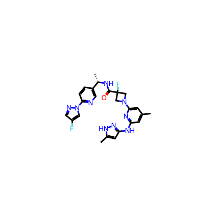 Cc1cc(Nc2cc(C)[nH]n2)nc(N2CC(F)(C(=O)N[C@@H](C)c3ccc(-n4cc(F)cn4)nc3)C2)c1